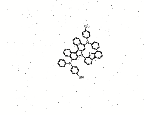 CC(C)(C)c1ccc(N(c2ccccc2)c2cc3c(c4ccccc24)c2c4ccccc4c(N(c4ccccc4)c4ccc(C(C)(C)C)cc4)cc2n3-c2cccc3c2oc2ccccc23)cc1